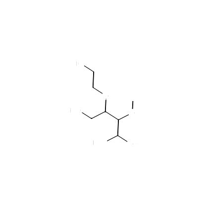 CCOC(C(C)O)C(CO)OCCO